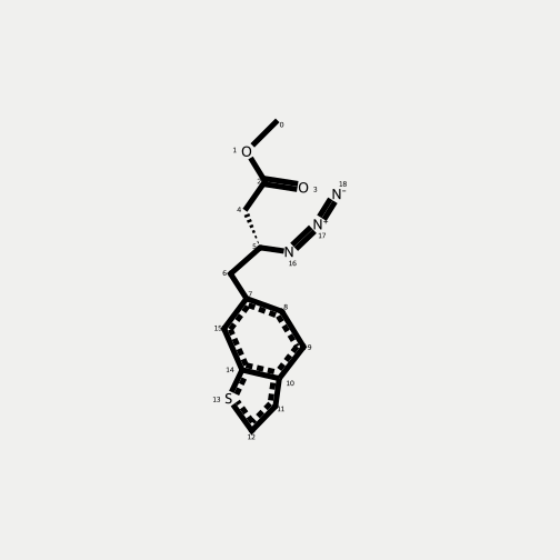 COC(=O)C[C@@H](Cc1ccc2ccsc2c1)N=[N+]=[N-]